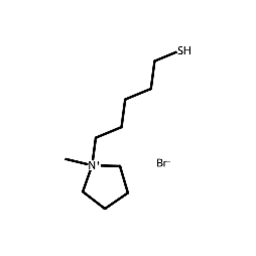 C[N+]1(CCCCCS)CCCC1.[Br-]